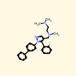 CN(C)CCN(C)Cc1cnn(-c2ccc(-c3ccccc3)cc2)c1-c1ccccc1F